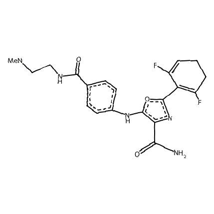 CNCCNC(=O)c1ccc(Nc2oc(C3=C(F)CCC=C3F)nc2C(N)=O)cc1